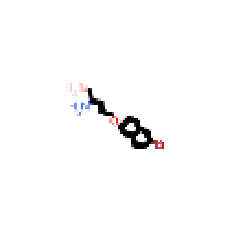 BCC(N)CCCOc1ccc2cc(Br)ccc2c1